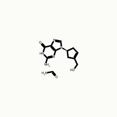 NC=O.Nc1nc2c(ncn2[C@H]2CC=C(CO)C2)c(=O)[nH]1